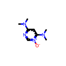 CN(C)c1cc(N(C)C)[n+]([O-])cn1